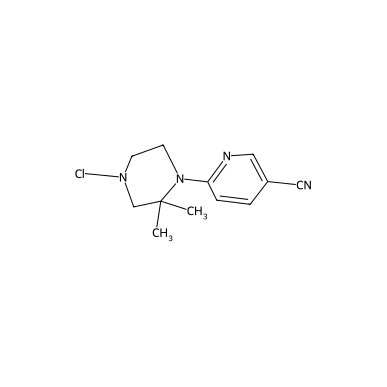 CC1(C)CN(Cl)CCN1c1ccc(C#N)cn1